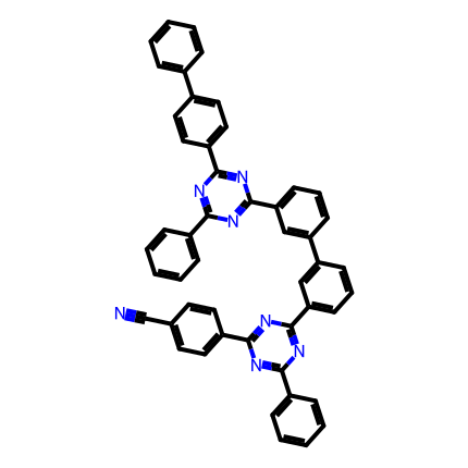 N#Cc1ccc(-c2nc(-c3ccccc3)nc(-c3cccc(-c4cccc(-c5nc(-c6ccccc6)nc(-c6ccc(-c7ccccc7)cc6)n5)c4)c3)n2)cc1